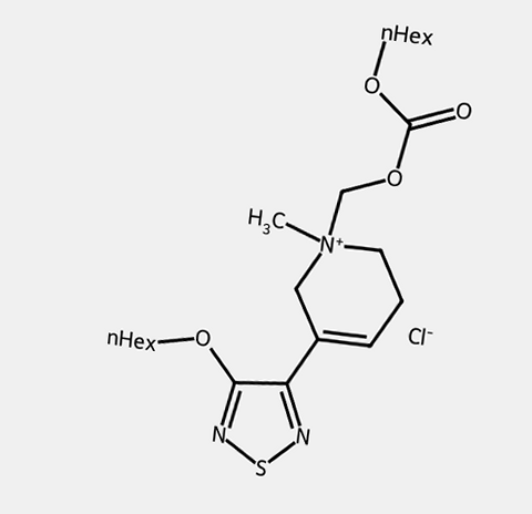 CCCCCCOC(=O)OC[N+]1(C)CCC=C(c2nsnc2OCCCCCC)C1.[Cl-]